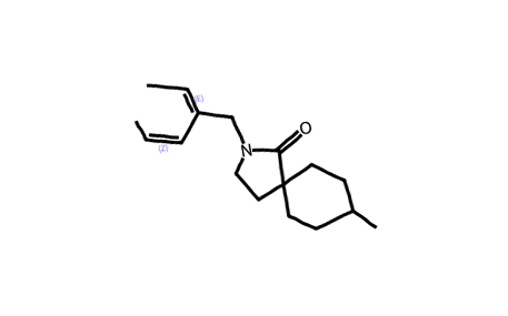 C/C=C\C(=C/C)CN1CCC2(CCC(C)CC2)C1=O